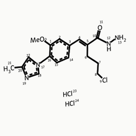 COc1cc(/C=C(\CCCCl)C(=O)NN)ccc1-n1cnc(C)c1.Cl.Cl